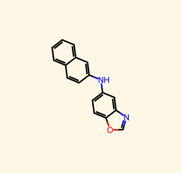 c1ccc2cc(Nc3ccc4ocnc4c3)ccc2c1